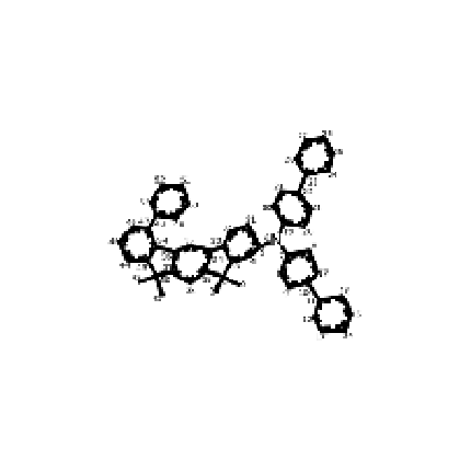 CC1(C)c2cc(N(c3ccc(-c4ccccc4)cc3)c3ccc(-c4ccccc4)cc3)ccc2-c2cc3c(cc21)C(C)(C)c1cccc(-c2ccccc2)c1-3